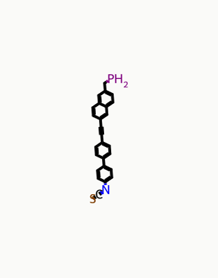 PCc1ccc2cc(C#Cc3ccc(-c4ccc(N=C=S)cc4)cc3)ccc2c1